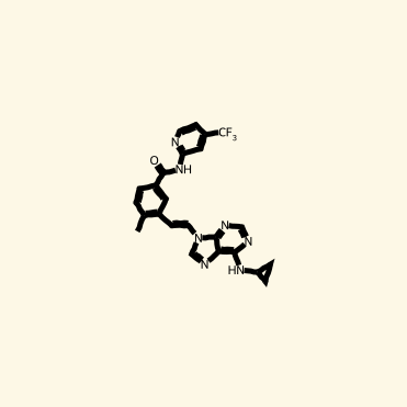 Cc1ccc(C(=O)Nc2cc(C(F)(F)F)ccn2)cc1C=Cn1cnc2c(NC3CC3)ncnc21